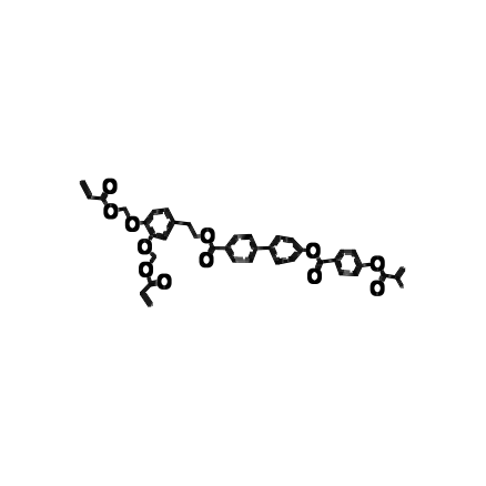 C=CC(=O)OCOc1ccc(CCOC(=O)c2ccc(-c3ccc(OC(=O)c4ccc(OC(=O)C(=C)C)cc4)cc3)cc2)cc1OCOC(=O)C=C